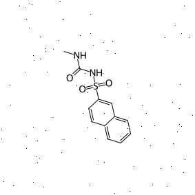 CNC(=O)NS(=O)(=O)c1ccc2ccccc2c1